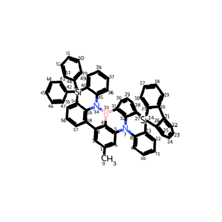 Cc1cc2c3c(c1)N1c4ccccc4[Si]4(c5ccccc5-c5ccccc54)c4cccc(c41)B3N1c3ccccc3[Si](c3ccccc3)(c3ccccc3)c3cccc-2c31